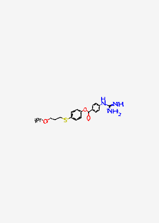 CC(C)OCCCSc1ccc(OC(=O)c2ccc(NC(=N)N)cc2)cc1